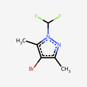 Cc1nn(C(F)F)c(C)c1Br